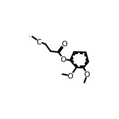 [CH2]CCCC(=O)Oc1cccc(OC)c1OC